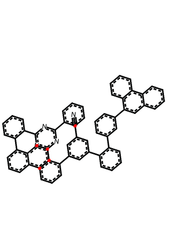 N#Cc1cc(-c2ccccc2-c2cccc(-c3cc4ccccc4c4ccccc34)c2)cc(-c2ccccc2-c2nc(-c3ccccc3)nc(-c3ccccc3-c3cccc4ccccc34)n2)c1